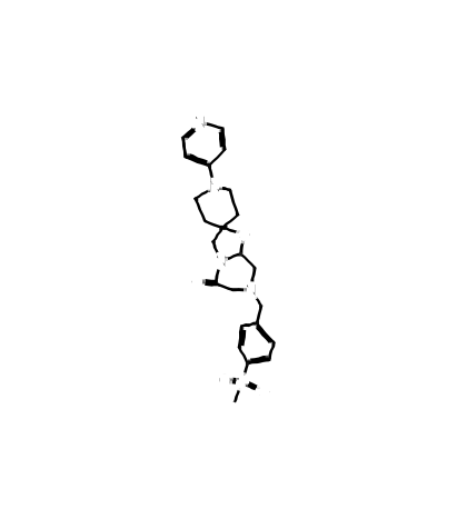 CS(=O)(=O)c1ccc(CN2CC(=O)N3CC4(CCN(c5ccncc5)CC4)OC3C2)cc1